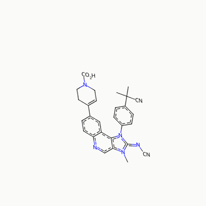 Cn1c(=NC#N)n(-c2ccc(C(C)(C)C#N)cc2)c2c3cc(C4=CCN(C(=O)O)CC4)ccc3ncc21